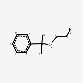 CC(C)(OCCBr)c1ccccc1